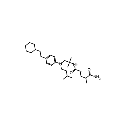 CC(C)CCN(CC(C)(C)NC(=O)[CH]CC(C)C(N)=O)c1ccc(CCC2CCCCC2)cc1